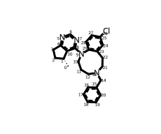 C[C@@H]1CCc2ncnc(N3CCCN(Cc4ccccc4)CCc4cc(Cl)ccc43)c21